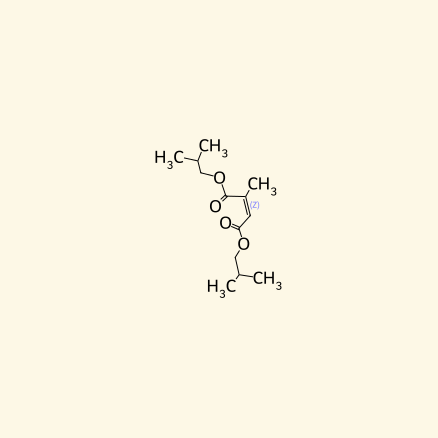 C/C(=C/C(=O)OCC(C)C)C(=O)OCC(C)C